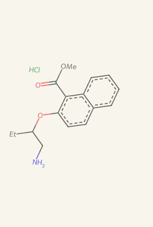 CCC(CN)Oc1ccc2ccccc2c1C(=O)OC.Cl